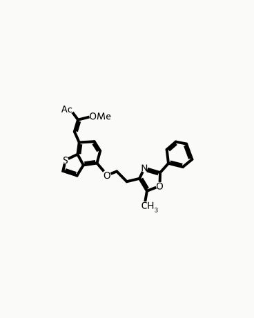 CO/C(=C\c1ccc(OCCc2nc(-c3ccccc3)oc2C)c2ccsc12)C(C)=O